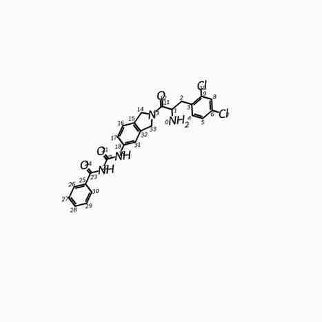 NC(Cc1ccc(Cl)cc1Cl)C(=O)N1Cc2ccc(NC(=O)NC(=O)c3ccccc3)cc2C1